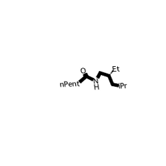 CCCCCC(=O)NC[C@H](CC)CC(C)C